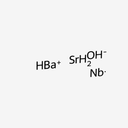 [BaH+].[Nb].[OH-].[SrH2]